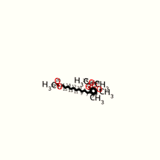 COc1cc(C)c(CCCCCCCCCCOC(C)=O)c(OC(C)=O)c1OC